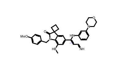 CBc1cc(/C(=C/C=N)Nc2cccc(N3CCOCC3)c2)cc2c1N(Cc1ccc(OC)cc1)C(=O)C21CCC1